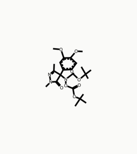 COc1ccc(C2(N(OC(=O)OC(C)(C)C)C(=O)OC(C)(C)C)C(=O)N(C)N=C2C)cc1OC